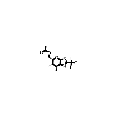 CC(=O)OC[C@H]1OC2SC(C(F)(F)F)=NC2[C@@H](C)[C@@H]1C